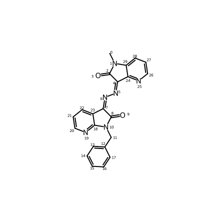 CN1C(=O)C(=N/N=C2\C(=O)N(Cc3ccccc3)c3ncccc32)c2ncccc21